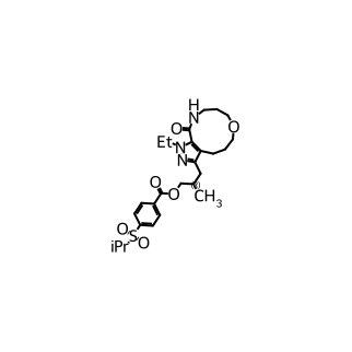 CCn1nc(C[C@@H](C)COC(=O)c2ccc(S(=O)(=O)C(C)C)cc2)c2c1C(=O)NCCCOCCC2